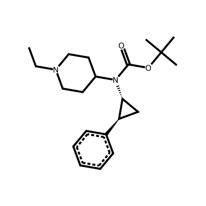 CCN1CCC(N(C(=O)OC(C)(C)C)[C@@H]2C[C@H]2c2ccccc2)CC1